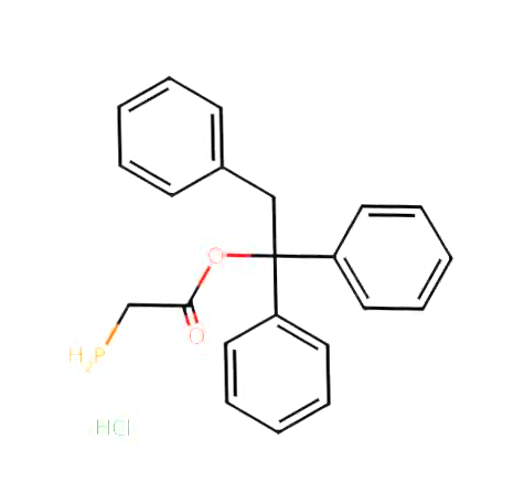 Cl.O=C(CP)OC(Cc1ccccc1)(c1ccccc1)c1ccccc1